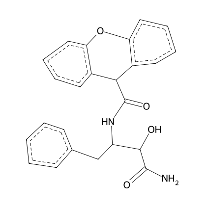 NC(=O)C(O)C(Cc1ccccc1)NC(=O)C1c2ccccc2Oc2ccccc21